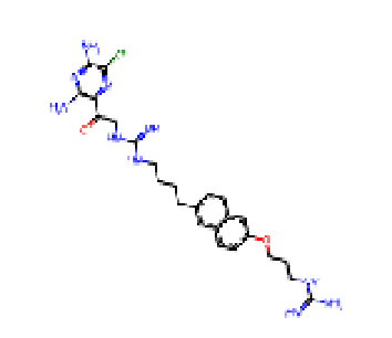 N=C(N)NCCCOc1ccc2cc(CCCCNC(=N)NCC(=O)c3nc(Cl)c(N)nc3N)ccc2c1